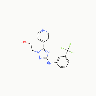 OCCn1nc(Nc2cccc(C(F)(F)F)c2)nc1-c1ccncc1